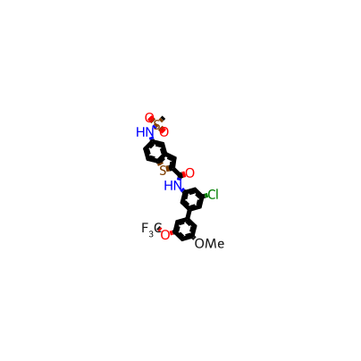 COc1cc(OC(F)(F)F)cc(-c2cc(Cl)cc(NC(=O)c3cc4cc(NS(C)(=O)=O)ccc4s3)c2)c1